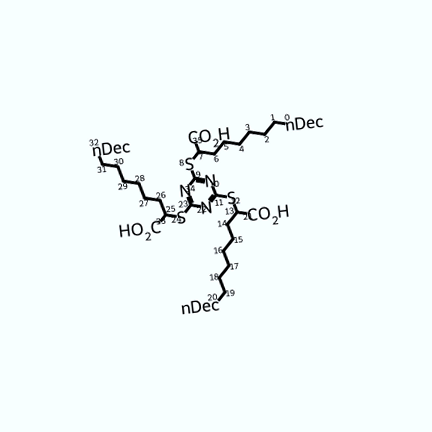 CCCCCCCCCCCCCCCCC(Sc1nc(SC(CCCCCCCCCCCCCCCC)C(=O)O)nc(SC(CCCCCCCCCCCCCCCC)C(=O)O)n1)C(=O)O